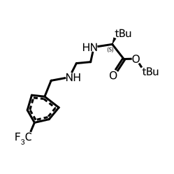 CC(C)(C)OC(=O)[C@@H](NCCNCc1ccc(C(F)(F)F)cc1)C(C)(C)C